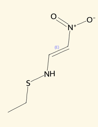 CCSN/C=C/[N+](=O)[O-]